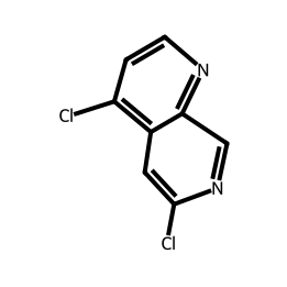 Clc1cc2c(Cl)ccnc2cn1